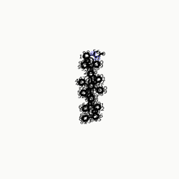 C=C/C=C\C(=C/C)c1cccc2c1oc1c(N(c3ccccc3)c3ccc4c(c3)c3cccc5c6c(-c7ccccc7)c7c(c(-c8ccccc8)c6n4c35)c3cccc4c5cc(N(c6ccccc6)c6cccc8c6oc6c(-c9ccccc9)cccc68)ccc5n7c43)cccc12